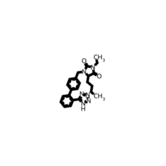 CCCCC1C(=O)N(CC)C(=O)N1Cc1ccc(-c2ccccc2-c2nnn[nH]2)cc1